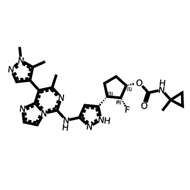 Cc1nc(Nc2cc([C@@H]3CC[C@H](OC(=O)NC4(C)CC4)[C@@H]3F)[nH]n2)n2ccnc2c1-c1cnn(C)c1C